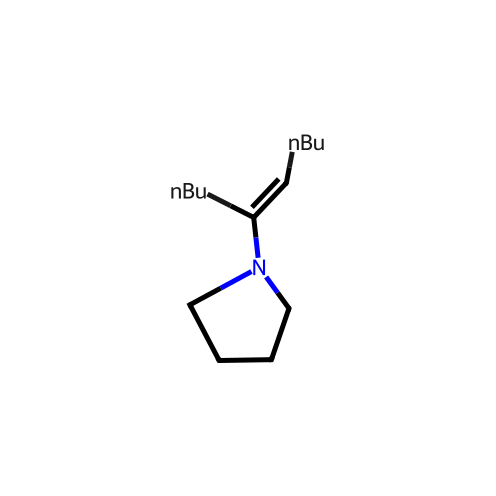 CCCC/C=C(\CCCC)N1CCCC1